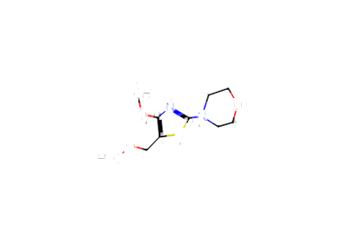 COCc1sc(N2CCOCC2)nc1OC